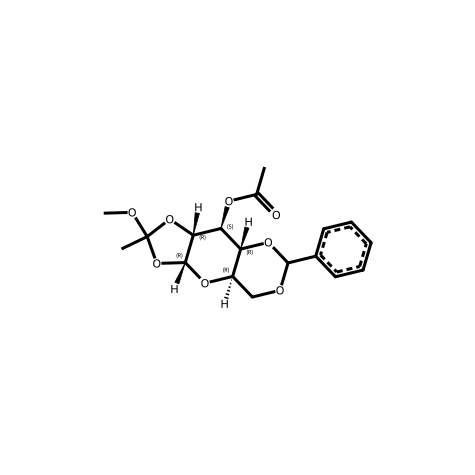 COC1(C)O[C@H]2O[C@@H]3COC(c4ccccc4)O[C@H]3[C@H](OC(C)=O)[C@H]2O1